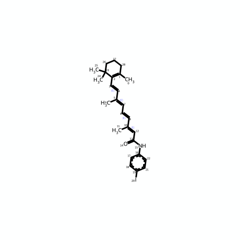 CC1=C(/C=C/C(C)=C/C=C/C(C)=C/C(=O)Nc2ccc(I)cc2)C(C)(C)CCC1